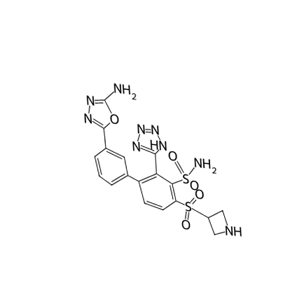 Nc1nnc(-c2cccc(-c3ccc(S(=O)(=O)C4CNC4)c(S(N)(=O)=O)c3-c3nnn[nH]3)c2)o1